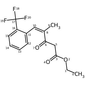 CCOC(=O)CC(=O)C(C)=Cc1ccccc1C(F)(F)F